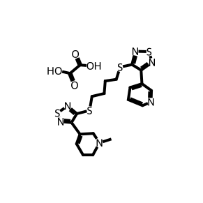 CN1CCC=C(c2nsnc2SCCCCSc2nsnc2-c2cccnc2)C1.O=C(O)C(=O)O